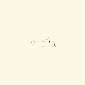 Cc1cc(-c2ccc(F)cc2)cc(OCCCCCN2CCCCC2)n1.Cl